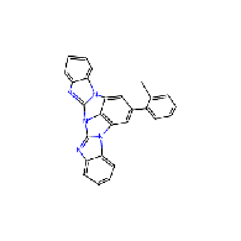 Cc1ccccc1-c1cc2c3c(c1)n1c4ccccc4nc1n3c1nc3ccccc3n21